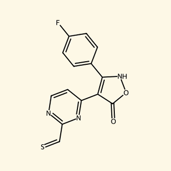 O=c1o[nH]c(-c2ccc(F)cc2)c1-c1ccnc(C=S)n1